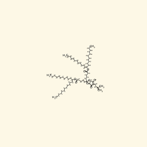 CCCCCCCCCCCCC(CCCCCCCCCCC)OC(=O)CCCCC1(CCCCC(=O)OC(CCCCCCCCCCC)CCCCCCCCCCCC)OC2C(=O)N(CCN(C)C)C(=O)C2O1